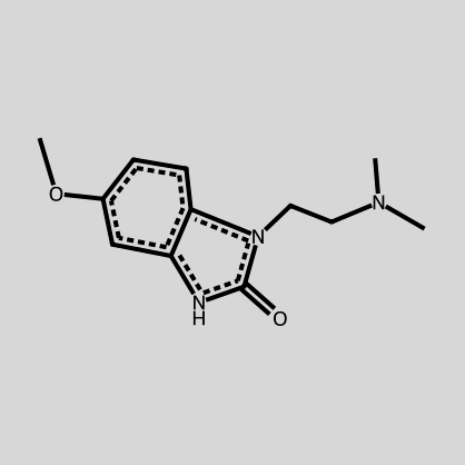 COc1ccc2c(c1)[nH]c(=O)n2CCN(C)C